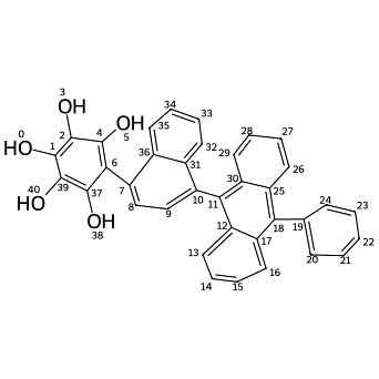 Oc1c(O)c(O)c(-c2ccc(-c3c4ccccc4c(-c4ccccc4)c4ccccc34)c3ccccc23)c(O)c1O